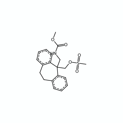 COC(=O)NCC1(COS(C)(=O)=O)c2ccccc2CCc2ccccc21